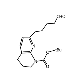 CC(C)(C)OC(=O)N1CCCc2ccc(CCCCC=O)nc21